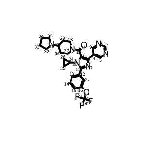 O=C(c1c(-c2cncnc2)nc(-c2cccc(OC(F)(F)F)c2)n1C1CC1)N1CCC(N2CCCC2)CC1